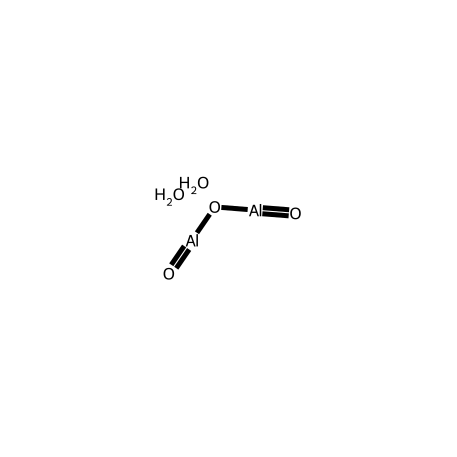 O.O.[O]=[Al][O][Al]=[O]